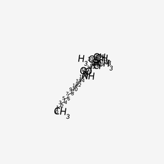 CCCCCCCCCCCCCCCCNC(=O)OCCC[Si](Cl)(C(C)C)C(C)C